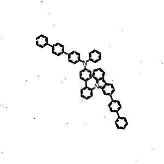 c1ccc(-c2ccc(-c3ccc(N(c4ccccc4)c4ccc(-c5ccccc5-n5c6ccccc6c6ccc(-c7ccc(-c8ccccc8)cc7)cc65)cc4)cc3)cc2)cc1